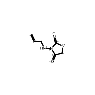 C=CCNN1C(=O)CSC1=O